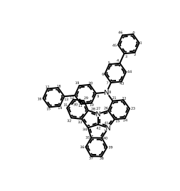 c1ccc(-c2ccc(N(c3ccc(-c4ccccc4)cc3)c3cccc4c3n3c5ccccc5c5c6ccccc6n4c53)cc2)cc1